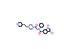 O=C(CN(C(=O)c1ccc2c(Cl)c[nH]c2c1)c1ccccc1)N1CCN(CCc2ccncc2)CC1